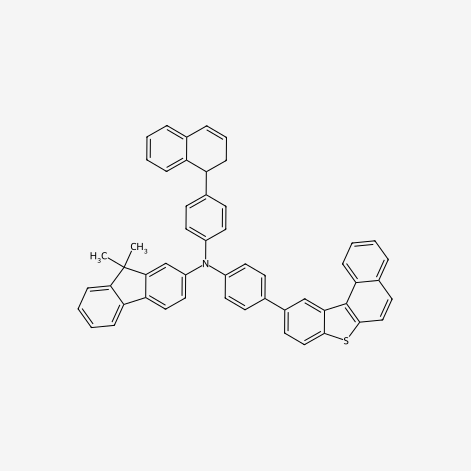 CC1(C)c2ccccc2-c2ccc(N(c3ccc(-c4ccc5sc6ccc7ccccc7c6c5c4)cc3)c3ccc(C4CC=Cc5ccccc54)cc3)cc21